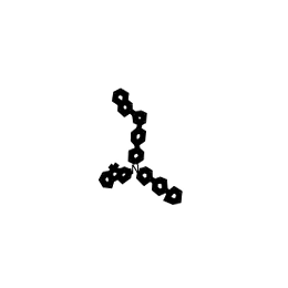 CC1(C)c2ccccc2-c2ccc(N(c3ccc(-c4ccc(-c5ccccc5)cc4)cc3)c3ccc(-c4ccc(-c5cccc(-c6ccc7ccccc7c6)c5)cc4)cc3)cc21